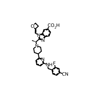 C[C@@H](c1nc2ccc(C(=O)O)cc2n1C=C1CCO1)N1CCC(c2cccc(NCc3ccc(C#N)cc3F)n2)CC1